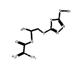 C=C(C)C(=O)OC(CCC)CSc1nnc(SCC)s1